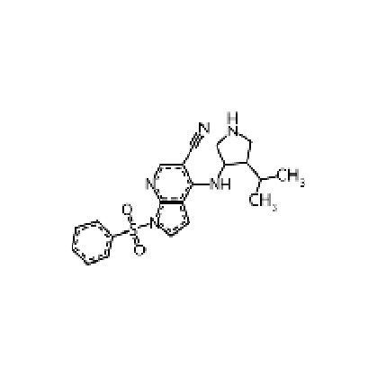 CC(C)C1CNCC1Nc1c(C#N)cnc2c1ccn2S(=O)(=O)c1ccccc1